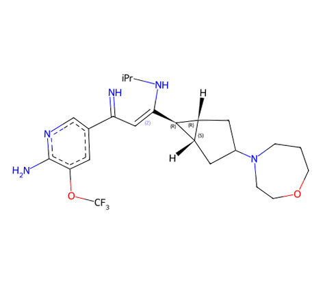 CC(C)N/C(=C\C(=N)c1cnc(N)c(OC(F)(F)F)c1)[C@H]1[C@@H]2CC(N3CCCOCC3)C[C@@H]21